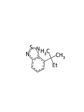 CCC(C)(C)c1cccc2nsnc12